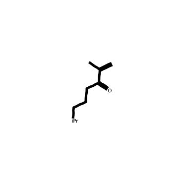 C=C(C)C(=O)CCCC(C)C